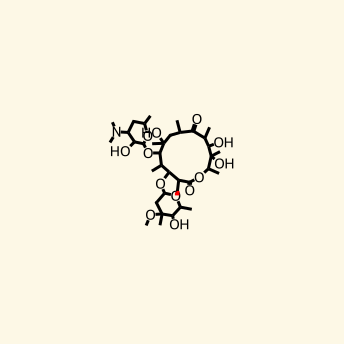 COC1(C)CC(OC2C(C)C(=O)OC(C)C(C)(O)C(O)C(C)C(=O)C(C)CC(C)(O)C(OC3OC(C)CC(N(C)C)C3O)C2C)OC(C)C1O